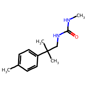 CNC(=O)NCC(C)(C)c1ccc(C)cc1